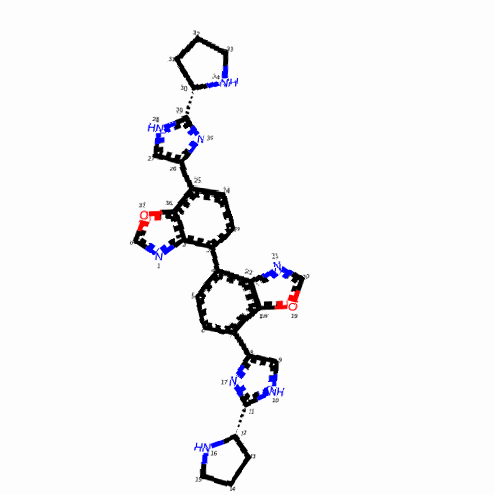 c1nc2c(-c3ccc(-c4c[nH]c([C@@H]5CCCN5)n4)c4ocnc34)ccc(-c3c[nH]c([C@@H]4CCCN4)n3)c2o1